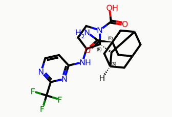 NC(=O)[C@]12CC3CC(C1)C([C@@H]1C(Nc4ccnc(C(F)(F)F)n4)CCN1C(=O)O)[C@@H](C3)C2